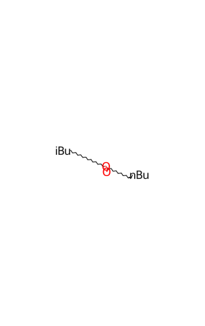 CCCC/C=C\CCCCCCCC(=O)OCCCCCCCCCCCCCCC(C)CC